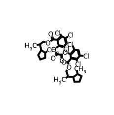 CC1CCCC1C(C)COC(=O)c1c(Cl)c(Cl)cc(Cl)c1OC(=O)C(=O)Oc1c(Cl)cc(Cl)c(Cl)c1C(=O)OCC(C)C1CCCC1C